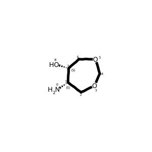 N[C@H]1COCOC[C@H]1O